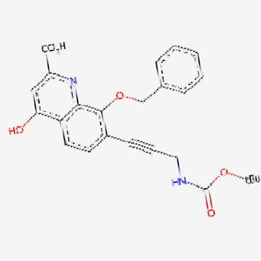 CC(C)(C)OC(=O)NCC#Cc1ccc2c(O)cc(C(=O)O)nc2c1OCc1ccccc1